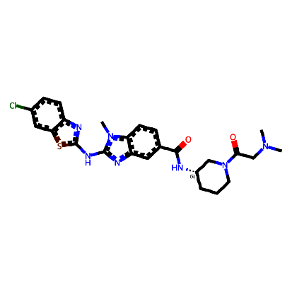 CN(C)CC(=O)N1CCC[C@H](NC(=O)c2ccc3c(c2)nc(Nc2nc4ccc(Cl)cc4s2)n3C)C1